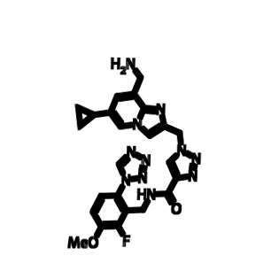 COc1ccc(-n2cnnn2)c(CNC(=O)c2cn(Cc3cn4cc(C5CC5)cc(CN)c4n3)nn2)c1F